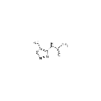 Cc1snnc1NC(N)=O